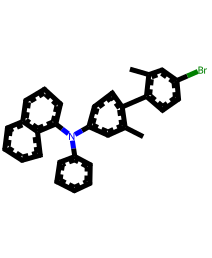 Cc1cc(Br)ccc1-c1ccc(N(c2ccccc2)c2cccc3ccccc23)cc1C